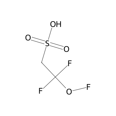 O=S(=O)(O)CC(F)(F)OF